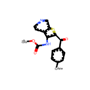 COc1ccc(C(=O)c2sc3cnccc3c2NC(=O)OC(C)(C)C)cc1